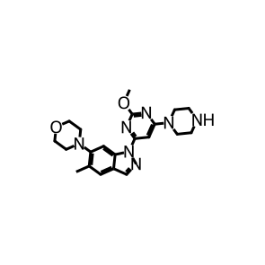 COc1nc(N2CCNCC2)cc(-n2ncc3cc(C)c(N4CCOCC4)cc32)n1